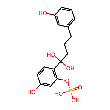 O=P(O)(O)Oc1cc(O)ccc1C(O)(O)CCCc1cccc(O)c1